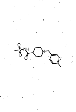 CS(=O)(=O)NC(=O)C1CCN(Cc2ccc(I)nc2)CC1